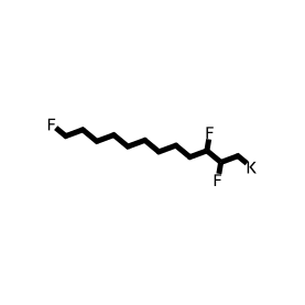 FCCCCCCCCCC(F)C(F)[CH2][K]